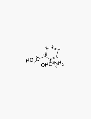 NC=O.O=C(O)c1ccccc1